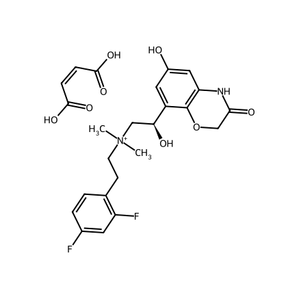 C[N+](C)(CCc1ccc(F)cc1F)C[C@H](O)c1cc(O)cc2c1OCC(=O)N2.O=C(O)/C=C\C(=O)O